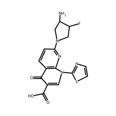 NC1CN(c2ccc3c(=O)c(C(=O)O)cn(-c4nccs4)c3n2)CC1F